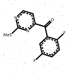 CSc1nccc(C(=O)c2cc(F)ccc2F)n1